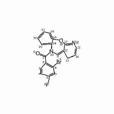 O=C(c1ccc(F)cc1Br)N1C=C2CC=CN=C2Oc2ccccc21